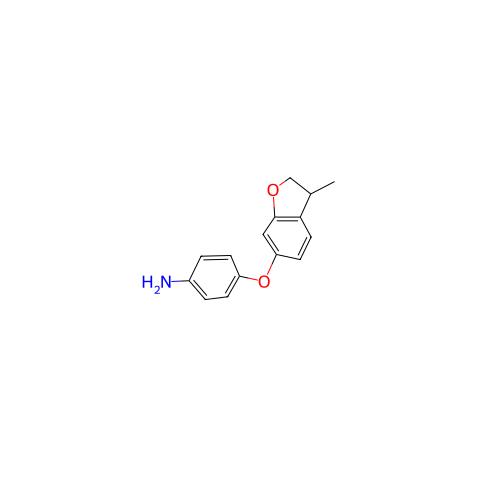 CC1COc2cc(Oc3ccc(N)cc3)ccc21